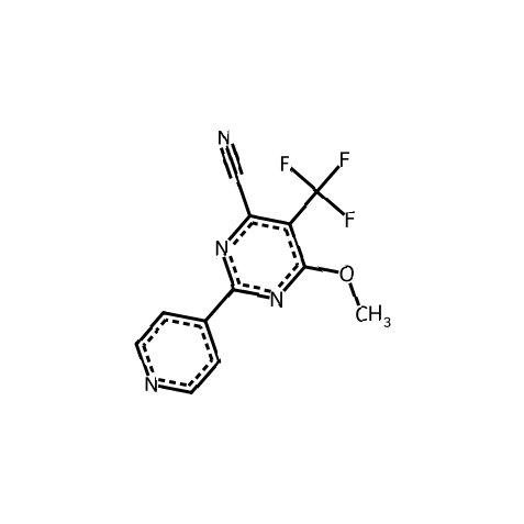 COc1nc(-c2ccncc2)nc(C#N)c1C(F)(F)F